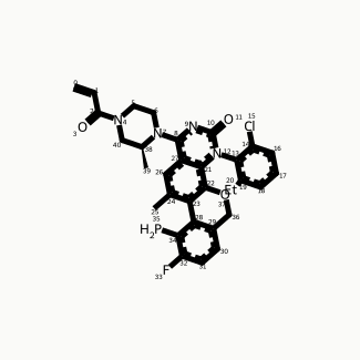 C=CC(=O)N1CCN(c2nc(=O)n(-c3c(Cl)cccc3CC)c3c4c(c(C)cc23)-c2c(ccc(F)c2P)CO4)[C@@H](C)C1